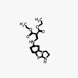 CCOC(=O)C(=CNc1ccc2c(c1)N1CCNC1S2)C(=O)OCC